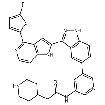 O=C(CC1CCNCC1)Nc1cncc(-c2ccc3[nH]nc(-c4cc5c(-c6ccc(F)s6)nccc5[nH]4)c3c2)c1